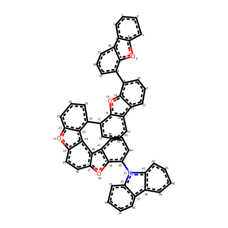 c1ccc2c(c1)oc1c(-c3cccc4c3oc3c(-c5cccc6oc7ccc8oc9c(-n%10c%11ccccc%11c%11ccccc%11%10)cccc9c8c7c56)cccc34)cccc12